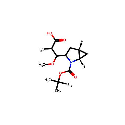 COC(C(C)C(=O)O)[C@H]1C[C@@H]2C[C@@H]2N1C(=O)OC(C)(C)C